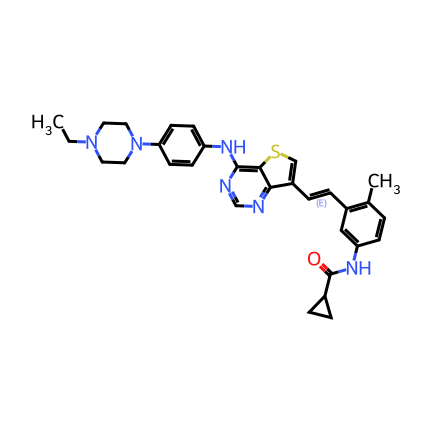 CCN1CCN(c2ccc(Nc3ncnc4c(/C=C/c5cc(NC(=O)C6CC6)ccc5C)csc34)cc2)CC1